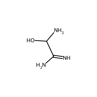 N=C(N)C(N)O